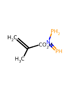 C=C(C)C(=O)O.P=NP